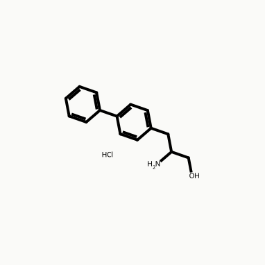 Cl.NC(CO)Cc1ccc(-c2ccccc2)cc1